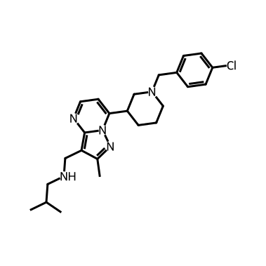 Cc1nn2c(C3CCCN(Cc4ccc(Cl)cc4)C3)ccnc2c1CNCC(C)C